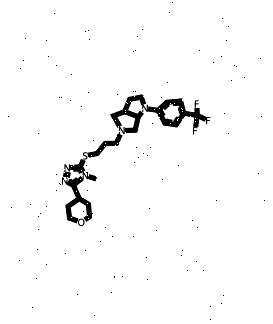 Cn1c(SCCCN2CC3CCN(c4ccc(C(F)(F)F)cc4)C3C2)nnc1C1CCOCC1